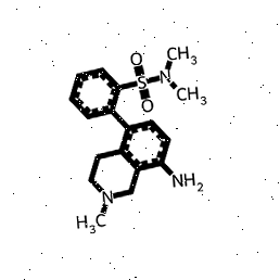 CN1CCc2c(-c3ccccc3S(=O)(=O)N(C)C)ccc(N)c2C1